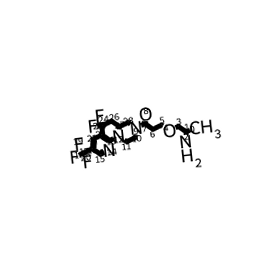 CC(N)COCCC(=O)N1CCN2c3ncc(C(F)(F)F)cc3C(F)(F)CC2C1